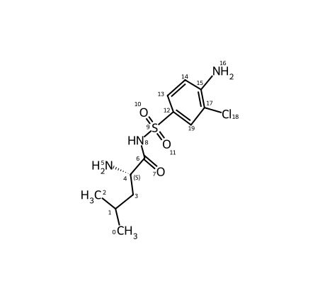 CC(C)C[C@H](N)C(=O)NS(=O)(=O)c1ccc(N)c(Cl)c1